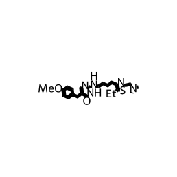 CCc1sc(CN(C)C)nc1CCCCNc1ncc(Cc2ccc(OC)cc2)c(=O)[nH]1